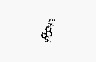 Cc1ccnc2c1OCCC1CN(C(=O)OC(C)(C)C)CCN21